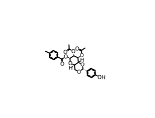 CC(=O)O[C@@H]1[C@@H](OC(C)=O)[C@H](OC(=O)c2ccc(C)cc2)O[C@@H]2CO[C@@H](c3ccc(O)cc3)O[C@@H]12